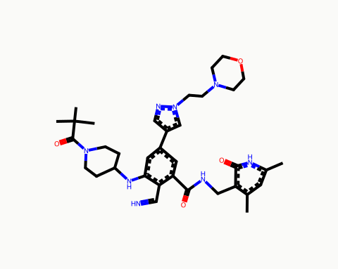 Cc1cc(C)c(CNC(=O)c2cc(-c3cnn(CCN4CCOCC4)c3)cc(NC3CCN(C(=O)C(C)(C)C)CC3)c2C=N)c(=O)[nH]1